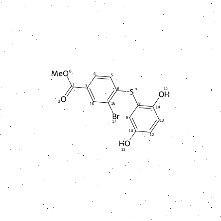 COC(=O)c1ccc(Sc2cc(O)ccc2O)c(Br)c1